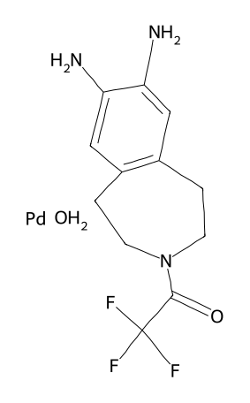 Nc1cc2c(cc1N)CCN(C(=O)C(F)(F)F)CC2.O.[Pd]